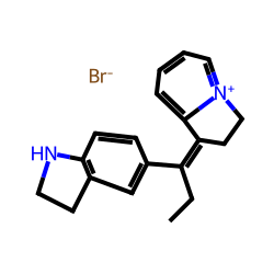 CCC(=C1CC[n+]2ccccc21)c1ccc2c(c1)CCN2.[Br-]